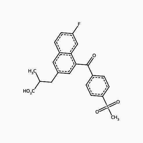 CC(Cc1cc(C(=O)c2ccc(S(C)(=O)=O)cc2)c2cc(F)ccc2c1)C(=O)O